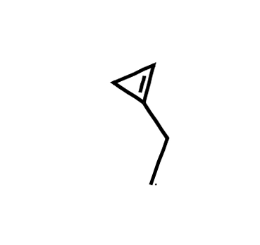 [CH2]CC1=CC1